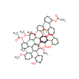 COc1cccc(-c2c(-c3cccc(OC(C)=O)c3-c3c(OC)ccc(-c4cccc(O)c4-c4c(OC)ccc(-c5cccc(OC(C)=O)c5-c5ccc(-c6cccc(O)c6-c6cccc7c6OCO7)c6c5OCO6)c4Cl)c3Cl)[c]c(C)c(OC)c2-c2cccc(O)c2)c1C